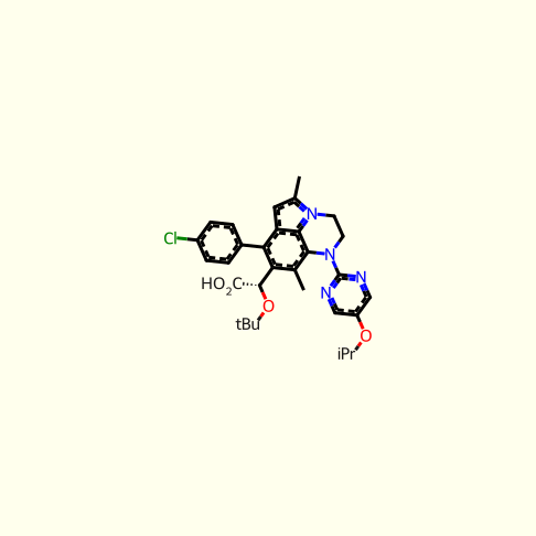 Cc1c([C@H](OC(C)(C)C)C(=O)O)c(-c2ccc(Cl)cc2)c2cc(C)n3c2c1N(c1ncc(OC(C)C)cn1)CC3